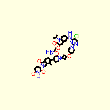 CNC(=O)COc1cc2cc(Nc3nc(N4CCC(OC5CC(N6CCC(c7ccc8c(c7C)CN([C@@H]7CCC(=O)NC7=O)C8=O)CC6)C5)CC4)ncc3Cl)ccc2n(C(C)C)c1=O